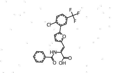 O=C(O)C(=Cc1ccc(-c2cc(C(F)(F)F)ccc2Cl)o1)NC(=O)c1ccccc1